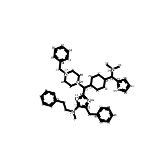 CN(CCc1ccccc1)c1oc(C(C2CCC(C(c3cccs3)N(C)C)CC2)N2CCN(Cc3ccccc3)CC2)nc1Cc1ccccc1